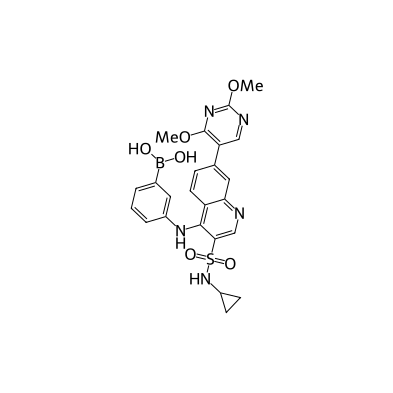 COc1ncc(-c2ccc3c(Nc4cccc(B(O)O)c4)c(S(=O)(=O)NC4CC4)cnc3c2)c(OC)n1